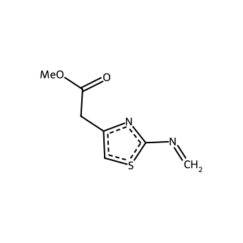 C=Nc1nc(CC(=O)OC)cs1